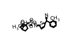 Cc1ccccc1C(C#N)C1C=CC(=NOS(=O)(=O)CC23CCC(CC2=O)C3(C)C)S1